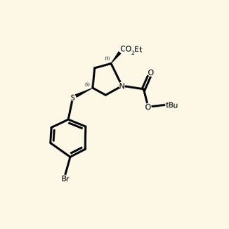 CCOC(=O)[C@@H]1C[C@H](Sc2ccc(Br)cc2)CN1C(=O)OC(C)(C)C